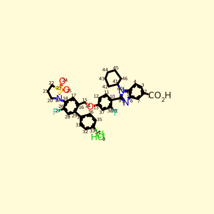 Cl.O=C(O)c1ccc2c(c1)nc(-c1ccc(OCc3cc(N4CCCS4(=O)=O)c(F)cc3-c3ccc(Cl)cc3)cc1F)n2C1CCCCC1